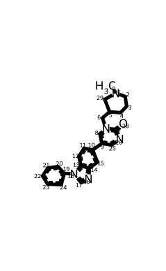 CN1CCCC(Cn2cc(-c3ccc4c(c3)ncn4-c3ccccc3)cnc2=O)C1